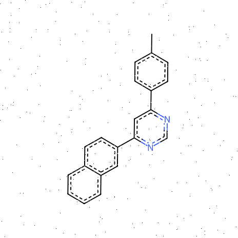 Cc1ccc(-c2cc(-c3ccc4ccccc4c3)ncn2)cc1